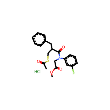 COC(=O)CN(C(=O)C(CSC(C)=O)Cc1ccccc1)c1cccc(F)c1.Cl